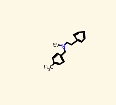 CCN(CCc1ccccc1)Cc1ccc(C)cc1